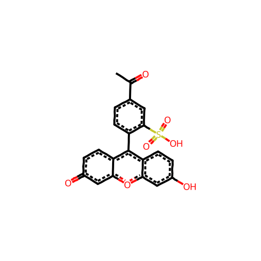 CC(=O)c1ccc(-c2c3ccc(=O)cc-3oc3cc(O)ccc23)c(S(=O)(=O)O)c1